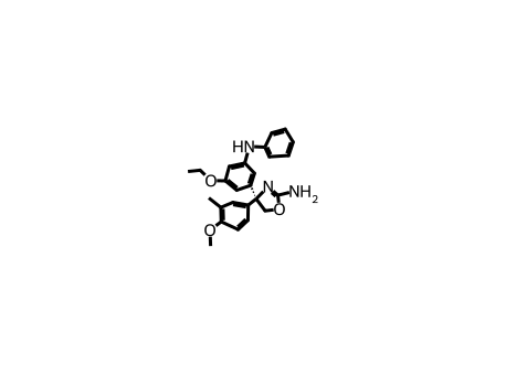 CCOc1cc(Nc2ccccc2)cc([C@@]2(c3ccc(OC)c(C)c3)COC(N)=N2)c1